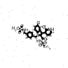 CS(=O)(=O)NCc1ccc(Cn2c(C(=O)NS(C)(=O)=O)c(-c3ccc[nH]c3=O)c3cc(Cl)ccc32)cc1